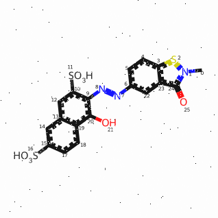 Cn1sc2ccc(N=Nc3c(S(=O)(=O)O)cc4cc(S(=O)(=O)O)ccc4c3O)cc2c1=O